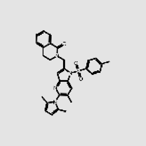 Cc1ccc(S(=O)(=O)n2c(CN3CCc4ccccc4C3=O)cc3nc(-n4c(C)ccc4C)c(C)cc32)cc1